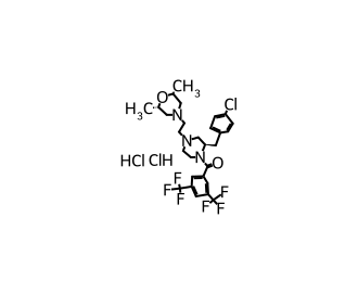 C[C@@H]1CN(CCN2CCN(C(=O)c3cc(C(F)(F)F)cc(C(F)(F)F)c3)[C@H](Cc3ccc(Cl)cc3)C2)C[C@H](C)O1.Cl.Cl